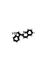 [c]1[nH]c2ccccc2c1-c1ccc2ccccc2n1